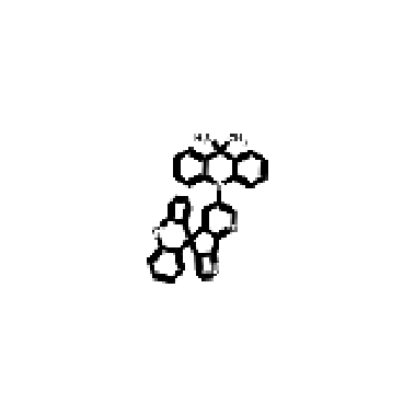 CC1(C)c2ccccc2N(c2cnc3c(c2)C2(c4ccccc4Oc4ccccc42)c2cccnc2-3)c2ccccc21